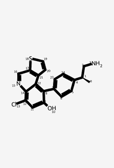 C[C@H](CN)c1ccc(-c2c(O)cc(Cl)c3ncc4sccc4c23)cc1